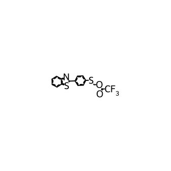 O=C(OCSc1ccc(-c2nc3ccccc3s2)cc1)C(F)(F)F